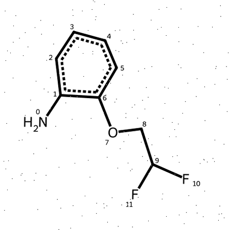 Nc1ccccc1OCC(F)F